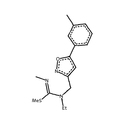 CCN(Cc1cc(-c2cccc(C)c2)on1)C(=NC)SC